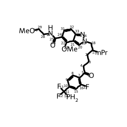 CCCC(CCCC(=O)c1ccc(C(F)(F)P)cc1F)Cn1cc2c(OC)c(C(=O)NCCOC)ccc2n1